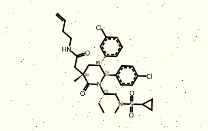 C=CCCNC(=O)C[C@]1(C)C[C@H](c2cccc(Cl)c2)[C@@H](c2ccc(Cl)cc2)N([C@@H](CC)CN(C)S(=O)(=O)C2CC2)C1=O